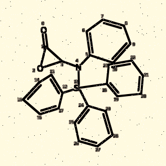 O=C1OC1N(c1ccccc1)[Si](c1ccccc1)(c1ccccc1)c1ccccc1